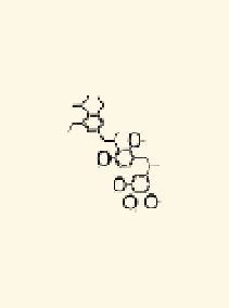 CCc1cc(CC(C)c2c(OC)ccc(CC(C)c3cc(OC)c(OC)c(OC)c3)c2OC)cc(CC)c1C(C)C